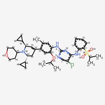 Cc1cc(Nc2ncc(Cl)c(Nc3ccccc3S(=O)(=O)C(C)C)n2)c(OC(C)C)cc1C1=C[C@H](C2CC2)N(C2CCOCC2)[C@@H](C2CC2)C1